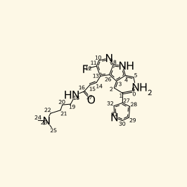 C=C(/C=c1\c(=C/N)[nH]c2ncc(F)c(/C=C/C(=O)NCCCCN(C)C)c12)c1cccnc1